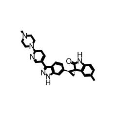 Cc1ccc2c(c1)[C@]1(C[C@H]1c1ccc3c(C4=CCC(N5CCN(C)CC5)N=C4)n[nH]c3c1)C(=O)N2